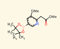 COC(=O)Cc1ncc(B2OC(C)(C)C(C)(C)O2)cc1OC